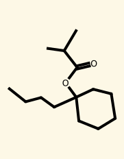 CCCCC1(OC(=O)C(C)C)CCCCC1